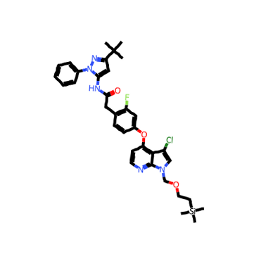 CC(C)(C)c1cc(NC(=O)Cc2ccc(Oc3ccnc4c3c(Cl)cn4COCC[Si](C)(C)C)cc2F)n(-c2ccccc2)n1